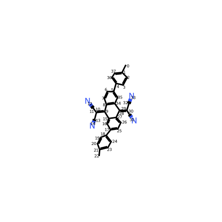 Cc1ccc(-c2ccc3c(=C(C#N)C#N)c4cc(-c5ccc(C)cc5)ccc4c(=C(C#N)C#N)c3c2)cc1